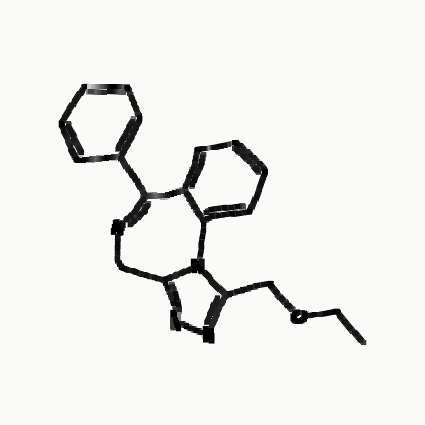 CCOCc1nnc2n1-c1ccccc1C(c1ccccc1)=NC2